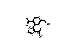 CC(=O)c1ccc(CO)cc1-c1occc1C(=O)O